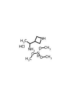 CC(N)C1CNC1.CO[SiH](OC)OC.Cl